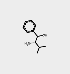 CC(C)[C@H](N)C(O)c1ccccc1